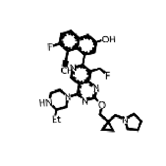 C#Cc1c(F)ccc2cc(O)cc(-c3ncc4c(N5CCNC(CC)C5)nc(OCC5(CN6CCCC6)CC5)nc4c3CF)c12